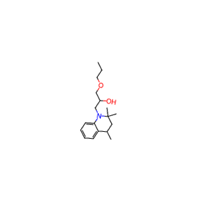 CCCOCC(O)CN1c2ccccc2C(C)CC1(C)C